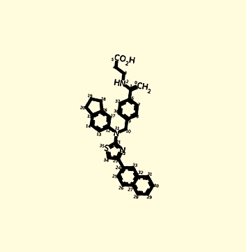 C=C(NCCC(=O)O)c1ccc(CN(c2ccc3c(c2)CCC3)c2nc(-c3ccc4ccccc4c3)cs2)cc1